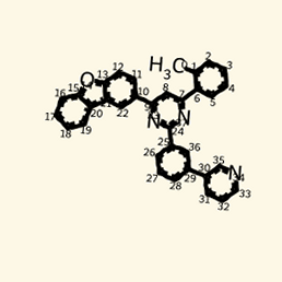 Cc1ccccc1-c1cc(-c2ccc3oc4ccccc4c3c2)nc(-c2cccc(-c3cccnc3)c2)n1